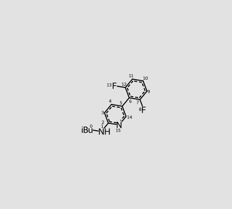 CCC(C)Nc1ccc(-c2c(F)cccc2F)cn1